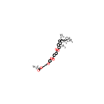 CCC1(COCCCCCCOc2ccc(OC(=O)c3ccc4cc(C(=O)OC5CCC6(C)C(=CCC7C6CCC6(C)C(C(C)CCCC(C)C)CCC76)C5)ccc4c3)cc2)COC1